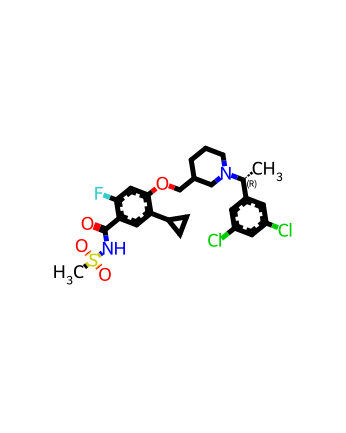 C[C@H](c1cc(Cl)cc(Cl)c1)N1CCCC(COc2cc(F)c(C(=O)NS(C)(=O)=O)cc2C2CC2)C1